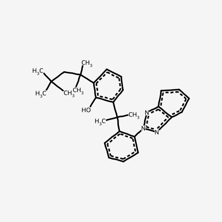 CC(C)(C)CC(C)(C)c1cccc(C(C)(C)c2ccccc2-n2nc3ccccc3n2)c1O